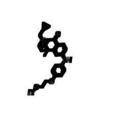 CCOCCOc1ccc(Nc2ccc3c(c2)[C@]2(C)CCN(CC4CC4)C(C3=O)[C@@H]2C)cc1